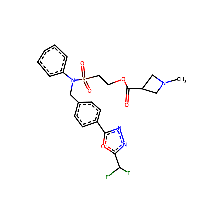 CN1CC(C(=O)OCCS(=O)(=O)N(Cc2ccc(-c3nnc(C(F)F)o3)cc2)c2ccccc2)C1